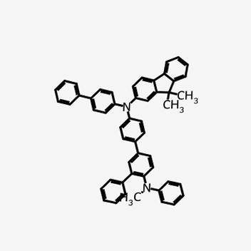 CN(c1ccccc1)c1ccc(-c2ccc(N(c3ccc(-c4ccccc4)cc3)c3ccc4c(c3)C(C)(C)c3ccccc3-4)cc2)cc1-c1ccccc1